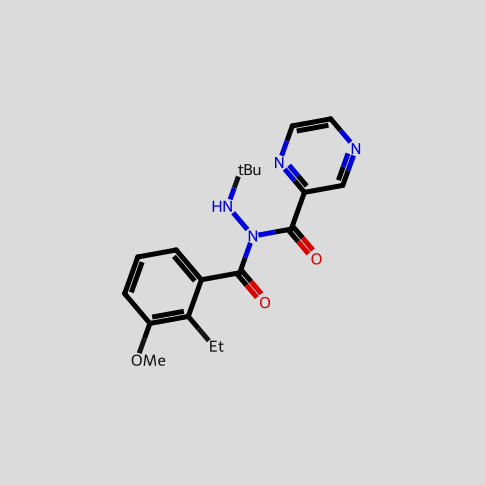 CCc1c(OC)cccc1C(=O)N(NC(C)(C)C)C(=O)c1cnccn1